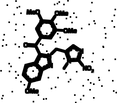 COc1ccc2c(C(=O)c3cc(OC)c(OC)c(OC)c3)n(Cc3cnc([N+](=O)[O-])n3C)nc2c1